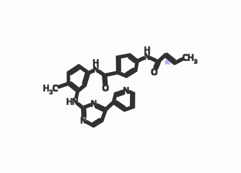 C/C=C/C(=O)Nc1ccc(C(=O)Nc2ccc(C)c(Nc3nccc(-c4cccnc4)n3)c2)cc1